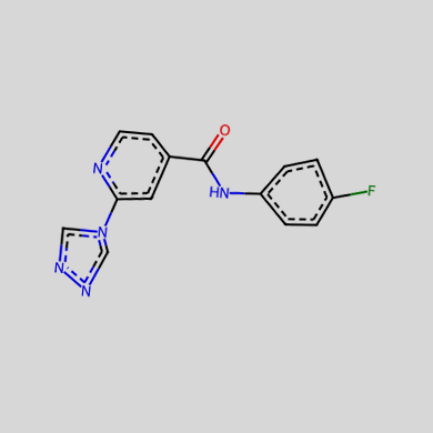 O=C(Nc1ccc(F)cc1)c1ccnc(-n2cnnc2)c1